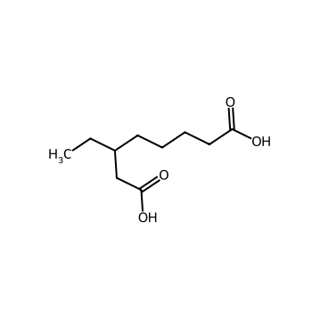 CCC(CCCCC(=O)O)CC(=O)O